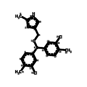 Cc1nc(COB(c2ccc(C)c(Cl)c2)c2ccc(C)c(Cl)c2)c[nH]1